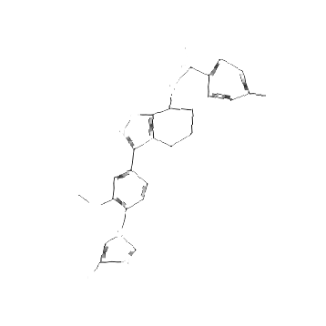 COc1cc(-c2noc3c2CCCC3N[C@H](C)c2ccc(F)cc2)ccc1-n1cnc(C)c1